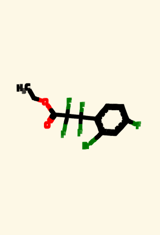 CCOC(=O)C(F)(F)C(F)(F)c1ccc(F)cc1Br